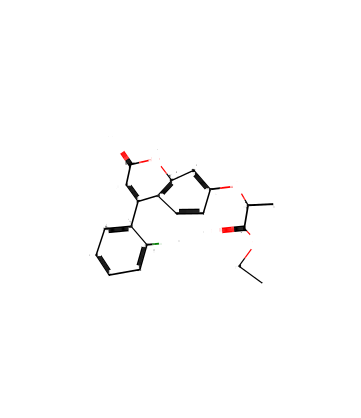 CCOC(=O)C(C)Oc1ccc2c(-c3ccccc3Cl)cc(=O)oc2c1